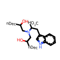 CCCCCCCCCCC(O)CN(CC(O)CCCCCCCCCC)C(Cc1c[nH]c2ccccc12)C(=O)O